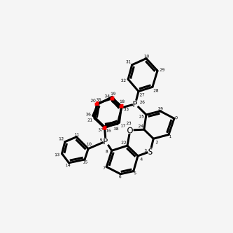 C1=CC2Sc3cccc(P(c4ccccc4)c4ccccc4)c3OC2C(P(c2ccccc2)c2ccccc2)=C1